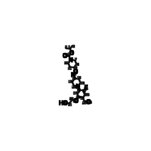 CC(C)OC(=O)N1CCC(ON=C2CCN(c3cc(OCCO)c(C=O)cc3F)CC2)CC1